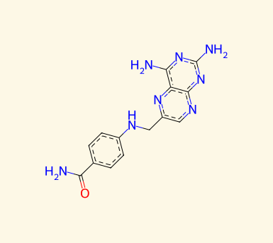 NC(=O)c1ccc(NCc2cnc3nc(N)nc(N)c3n2)cc1